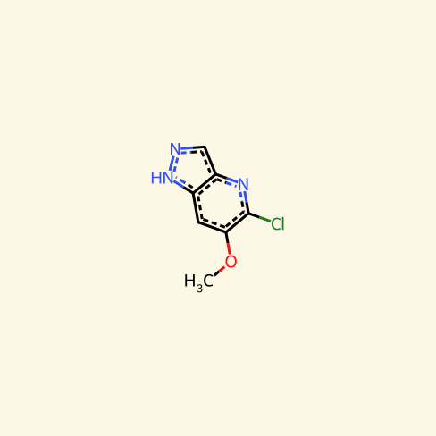 COc1cc2[nH]ncc2nc1Cl